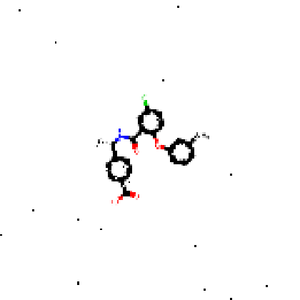 Cc1cccc(Oc2ccc(Cl)cc2C(=O)N[C@@H](C)c2ccc(C(=O)O)cc2)c1